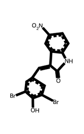 O=C1Nc2ccc([N+](=O)[O-])cc2/C1=C/c1cc(Br)c(O)c(Br)c1